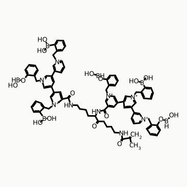 C=C(C)C(=O)NCCCCC(=O)C(CCCCNC(=O)c1cc(-c2cc(-c3ccc[n+](Cc4ccccc4B(O)O)c3)c[n+](Cc3ccccc3OBO)c2)c[n+](Cc2ccccc2B(O)O)c1)NC(=O)c1cc(-c2cc(-c3ccc[n+](Cc4ccccc4OBO)c3)c[n+](Cc3ccccc3B(O)O)c2)c[n+](Cc2ccccc2OBO)c1